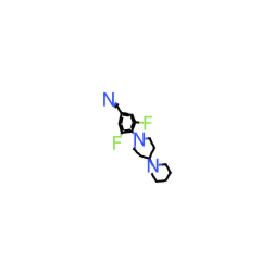 N#Cc1cc(F)c(N2CCC(N3CCCCC3)CC2)c(F)c1